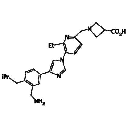 CCc1nc(CN2CC(C(=O)O)C2)ccc1-n1cnc(-c2ccc(CC(C)C)c(CN)c2)c1